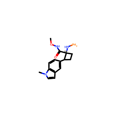 CONC(=O)[C@]1(NP)CCC1c1ccc2c(ccn2C)c1